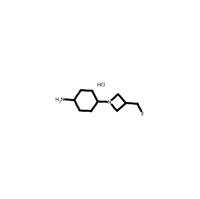 Cl.NC1CCC(N2CC(CF)C2)CC1